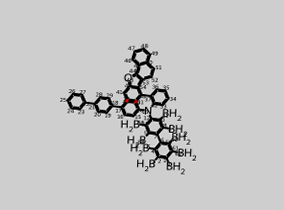 Bc1c(B)c(B)c(-c2c(B)c(B)c(N(c3ccc(-c4ccc(-c5ccccc5)cc4)cc3)c3ccccc3-c3cccc4oc5c6ccccc6ccc5c34)c(B)c2B)c(B)c1B